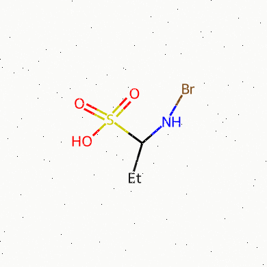 CCC(NBr)S(=O)(=O)O